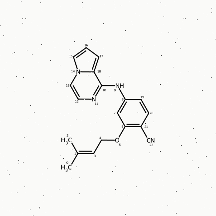 CC(C)=CCOc1cc(Nc2nccn3cccc23)ccc1C#N